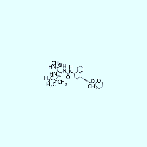 CNC(=O)c1[nH]c(C(C)(C)C)cc1NC(=O)Nc1ccc(C#CC(C)OC2CCCCO2)c2ccccc12